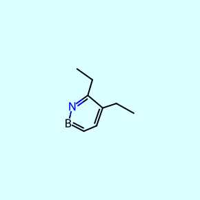 CCc1ccbnc1CC